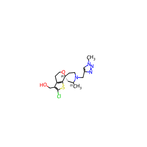 C[C@H]1C[C@@]2(CCN1Cc1cn(C)nn1)OCCc1c2sc(Cl)c1CO